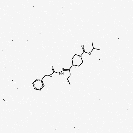 CCS/C(=N\NC(=O)OCc1ccccc1)N1CCN(C(=O)OC(C)C)CC1